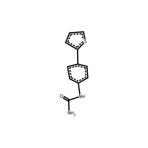 NC(=O)Nc1ccc(-c2cccs2)cc1